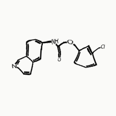 O=C(Nc1ccc2cnccc2c1)Oc1cccc(Cl)c1